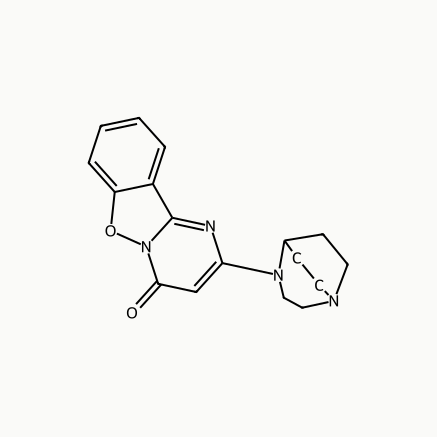 O=c1cc(N2CCN3CCC2CC3)nc2c3ccccc3on12